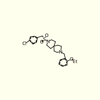 CCOc1ccccc1CN1CCC2(CC1)CCN(S(=O)(=O)Cc1ccc(Cl)cc1)CC2